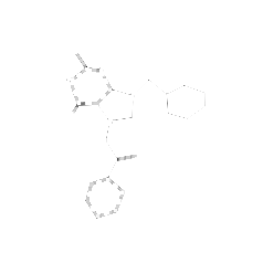 O=C(CN1[CH]N(CC2CCCCC2)c2[nH]c(=O)[nH]c(=O)c21)c1ccccc1